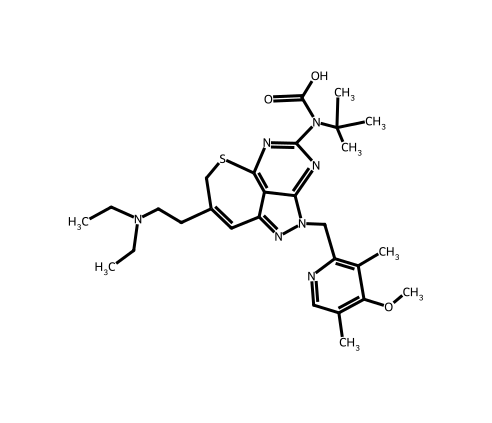 CCN(CC)CCC1=Cc2nn(Cc3ncc(C)c(OC)c3C)c3nc(N(C(=O)O)C(C)(C)C)nc(c23)SC1